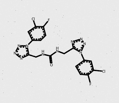 O=C(NCc1nnnn1-c1ccc(F)c(Cl)c1)NCc1nnnn1-c1ccc(F)c(Cl)c1